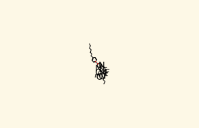 CCCCCCCc1ccc(-c2cnc(OC(OC(=O)CC)C(OCCCC)C(F)(F)F)nc2)cc1